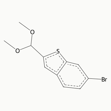 COC(OC)c1cc2ccc(Br)cc2s1